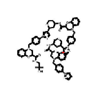 CC(C)(O)CNC(=O)C1CN(Cc2ccc(-n3cc(C4CC(NC(=O)C5CN(Cc6ccc(-n7nccc7C7COCC(NC(=O)C8CN(Cc9ccc(-n%10cccn%10)cc9)c9ccccc9O8)C7)cc6)c6ccccc6O5)CCO4)cn3)cc2)c2ccccc2O1